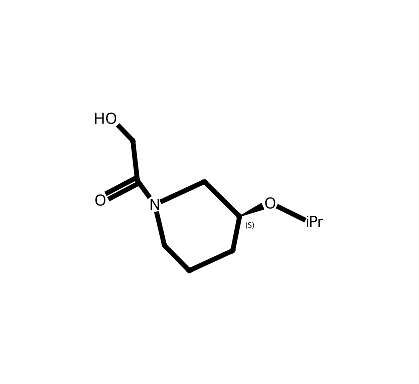 CC(C)O[C@H]1CCCN(C(=O)CO)C1